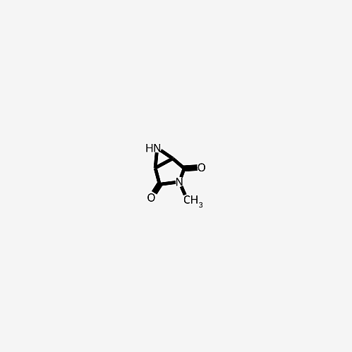 CN1C(=O)C2NC2C1=O